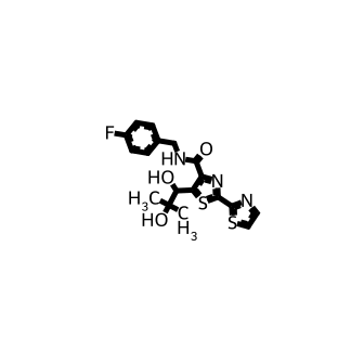 CC(C)(O)C(O)c1sc(-c2nccs2)nc1C(=O)NCc1ccc(F)cc1